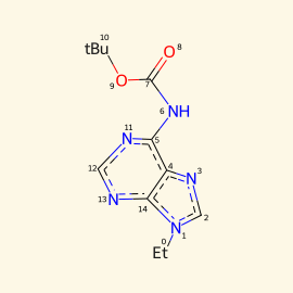 CCn1cnc2c(NC(=O)OC(C)(C)C)ncnc21